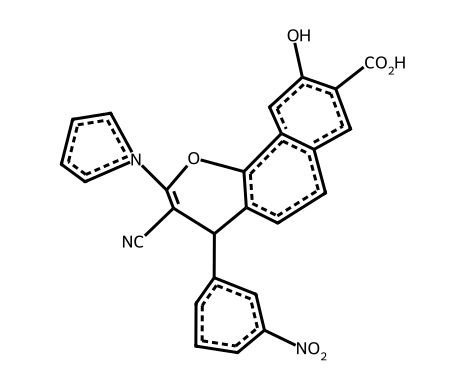 N#CC1=C(n2cccc2)Oc2c(ccc3cc(C(=O)O)c(O)cc23)C1c1cccc([N+](=O)[O-])c1